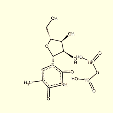 Cc1cn([C@@H]2O[C@H](CO)[C@@H](O)[C@H]2O)c(=O)[nH]c1=O.O=[PH](O)O[PH](=O)O